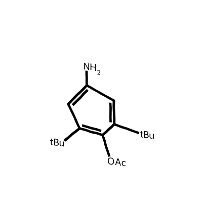 CC(=O)Oc1c(C(C)(C)C)cc(N)cc1C(C)(C)C